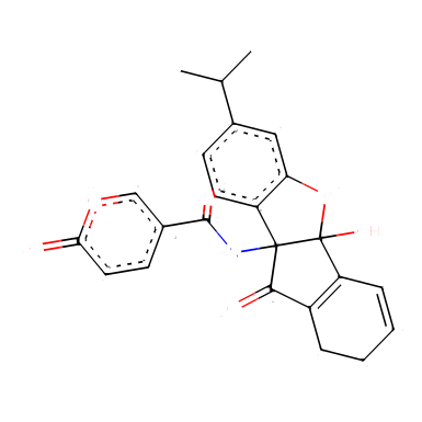 CC(C)c1ccc2c(c1)OC1(O)C3=C(CCC=C3)C(=O)C21NC(=O)c1ccc(=O)oc1